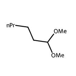 CCCCCC(OC)OC